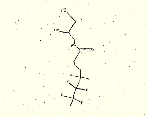 O=C(CCC(F)(F)C(F)(F)C(F)(F)F)NCC(O)CO